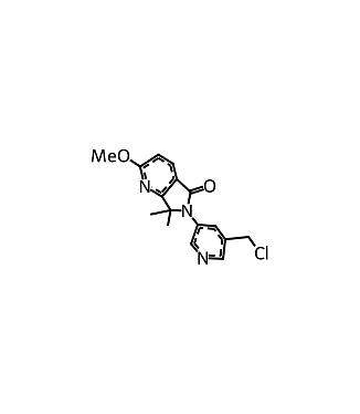 COc1ccc2c(n1)C(C)(C)N(c1cncc(CCl)c1)C2=O